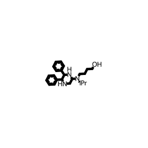 CC(C)N(CCCCO)C1CNC(c2ccccc2)C(c2ccccc2)N1